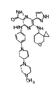 CN1CCN(C2CCN(c3ccc(Nc4nc(NC5CCOCC56CC6)c(-c5cc[nH]n5)nc4C(N)=O)cc3)CC2)CC1